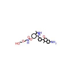 CC1=C2CCCC(OC(=O)NCCOCCO)CCC2C(c2cccc(C3=C(C)c4ccc(N)cc4CC3=O)c2)=NN1